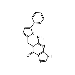 Nc1nc2[nH]cnc2c(=O)n1Cc1ccc(-c2ccccc2)s1